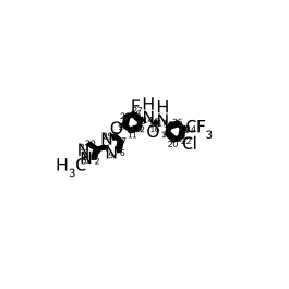 Cn1cc(-c2nccc(Oc3ccc(NC(=O)Nc4ccc(Cl)c(C(F)(F)F)c4)c(F)c3)n2)cn1